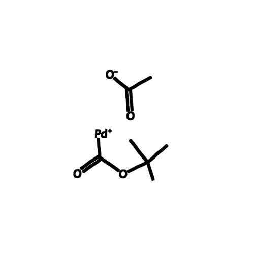 CC(=O)[O-].CC(C)(C)O[C](=O)[Pd+]